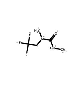 CNC(=O)N(C)CC(F)(F)F